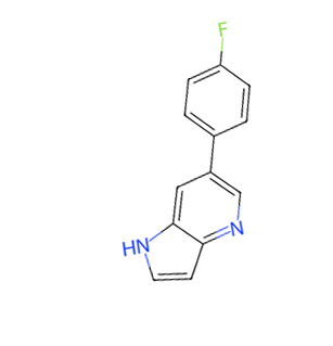 Fc1ccc(-c2cnc3cc[nH]c3c2)cc1